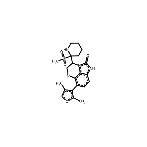 Cc1noc(C)c1-c1ccc2[nH]c(=O)n3c2c1OCC3C1(S(C)(=O)=O)CCCCN1